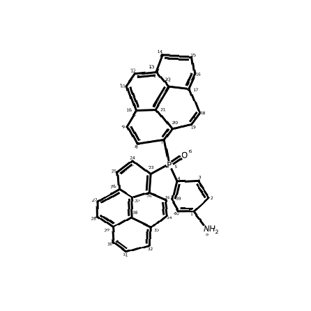 Nc1ccc(P(=O)(c2ccc3ccc4cccc5ccc2c3c45)c2ccc3ccc4cccc5ccc2c3c45)cc1